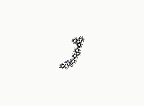 CCc1oc2ccc(-c3ccc4c(ccc5cc(-c6ccc7c8ccccc8c8ccccc8c7c6)ccc54)c3)cc2c1/C=C\Cc1ccccc1C